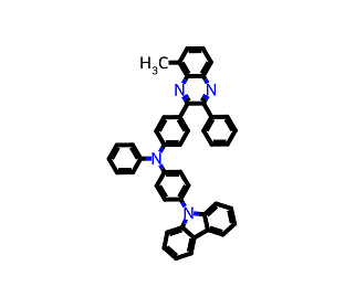 Cc1cccc2nc(-c3ccccc3)c(-c3ccc(N(c4ccccc4)c4ccc(-n5c6ccccc6c6ccccc65)cc4)cc3)nc12